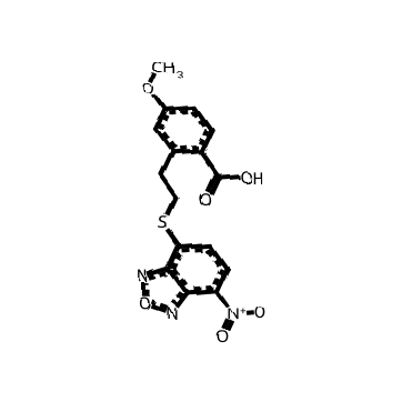 COc1ccc(C(=O)O)c(CCSc2ccc([N+](=O)[O-])c3nonc23)c1